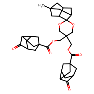 CC12CC3CC(C1)C1(OCC(COC(=O)C45CC6CC(C4)C(C5)C6=O)(COC(=O)C45CC6CC(C4)C(C5)C6=O)CO1)C3C2